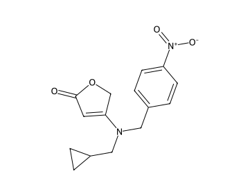 O=C1C=C(N(Cc2ccc([N+](=O)[O-])cc2)CC2CC2)CO1